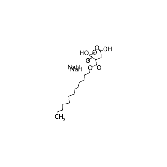 CCCCCCCCCCCCCOC(=O)C(CC(=O)O)S(=O)(=O)O.[NaH].[NaH]